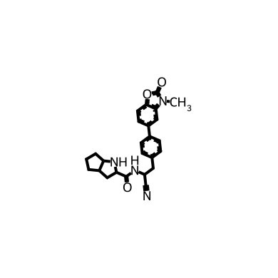 Cn1c(=O)oc2ccc(-c3ccc(CC(C#N)NC(=O)C4CC5CCCC5N4)cc3)cc21